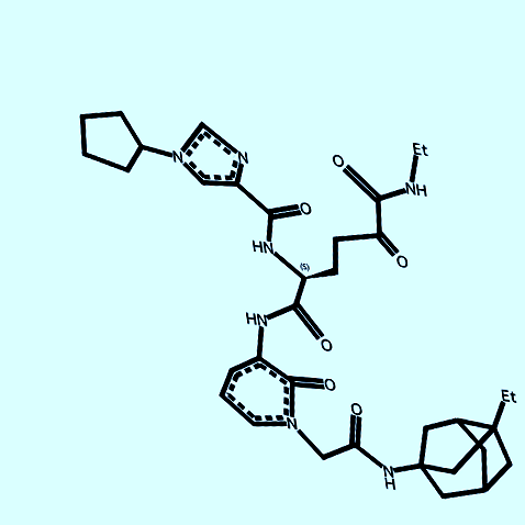 CCNC(=O)C(=O)CC[C@H](NC(=O)c1cn(C2CCCC2)cn1)C(=O)Nc1cccn(CC(=O)NC23CC4CC(C2)C(CC)(C4)C3)c1=O